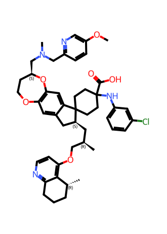 COc1ccc(CN(C)C[C@@H]2CCOc3cc4c(cc3O2)C2(CCC(Nc3cccc(Cl)c3)(C(=O)O)CC2)[C@@H](C[C@@H](C)COc2ccnc3c2[C@H](C)CCC3)C4)nc1